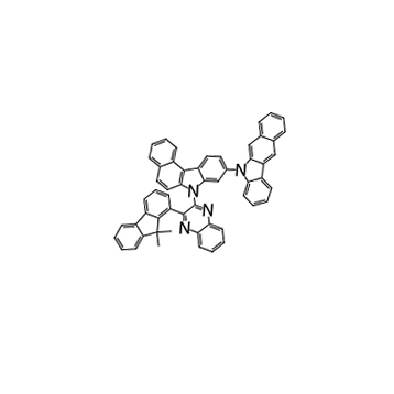 CC1(C)c2ccccc2-c2cccc(-c3nc4ccccc4nc3-n3c4cc(-n5c6ccccc6c6cc7ccccc7cc65)ccc4c4c5ccccc5ccc43)c21